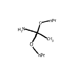 CCCOC(C)(N)OCCC